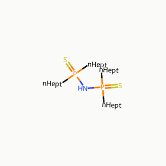 CCCCCCCP(=S)(CCCCCCC)NP(=S)(CCCCCCC)CCCCCCC